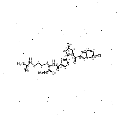 CNC(=O)[C@@H](CCCCNC(=N)N)NC(=O)c1csc([C@@H]2C[C@@H](O)CN2C(=O)c2cn3cc(Cl)ccc3n2)n1